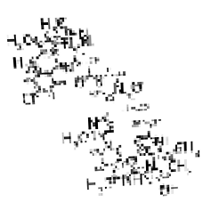 Cc1ncsc1-c1ccc([C@H](C)NC(=O)[C@@H]2C[C@@H](O)CN2C(=O)C(NC(=O)CCCCC(=O)N2CCN(C(=O)C[C@@H]3N=C(c4ccc(Cl)cc4)c4c(sc(C)c4C)-n4c(C)nnc43)CC2)C(C)C)cc1